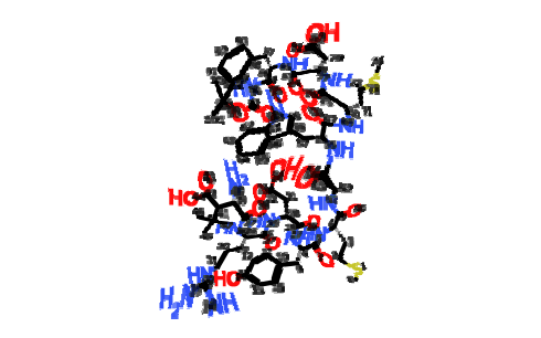 CSCC[C@H](NC(=O)[C@H](Cc1ccc(O)cc1)NC(=O)[C@H](CC(=O)O)NC(=O)[C@H](CCCNC(=N)N)NC(=O)[C@@H](N)C(C(=O)O)C(C)(C)C)C(=O)NCC(=O)N[C@@H](Cc1c[nH]c2ccccc12)C(=O)N[C@@H](CCSC)C(=O)N[C@@H](CC(=O)O)C(=O)N[C@@H](Cc1ccccc1)C(=O)NC(=O)OC(C)(C)C